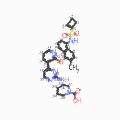 Cc1ccc2c(NS(=O)(=O)C3CCC3)cccc2c1Oc1ncccc1-c1ccnc(N[C@H]2CCCN(C(=O)O)C2)n1